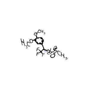 COc1ccc(/C(=N/OS(C)(=O)=O)C(F)(F)F)cc1OC